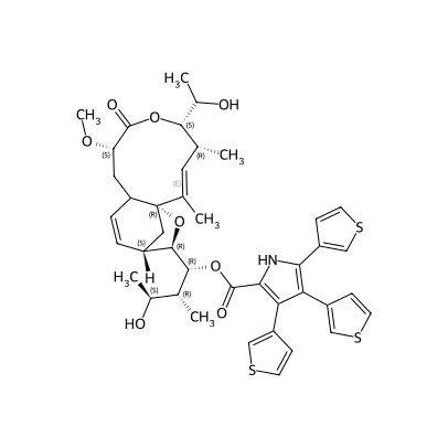 CO[C@H]1CC2C=C[C@@H]3C[C@]2(O[C@H]3[C@H](OC(=O)c2[nH]c(-c3ccsc3)c(-c3ccsc3)c2-c2ccsc2)[C@H](C)[C@H](C)O)/C(C)=C/[C@@H](C)[C@@H](C(C)O)OC1=O